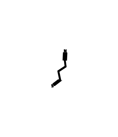 N#CCC[C]=S